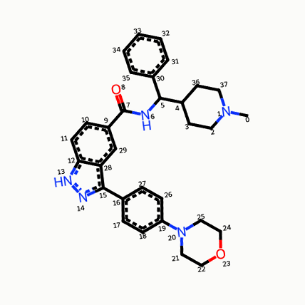 CN1CCC(C(NC(=O)c2ccc3[nH]nc(-c4ccc(N5CCOCC5)cc4)c3c2)c2ccccc2)CC1